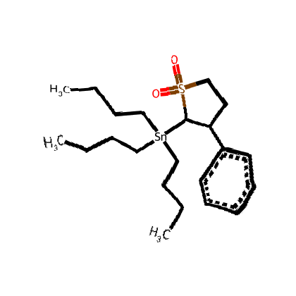 CCC[CH2][Sn]([CH2]CCC)([CH2]CCC)[CH]1C(c2ccccc2)CCS1(=O)=O